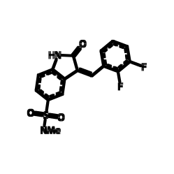 CNS(=O)(=O)c1ccc2c(c1)C(=Cc1cccc(F)c1F)C(=O)N2